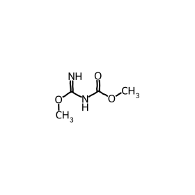 COC(=N)NC(=O)OC